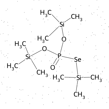 C[Si](C)(C)OP(=O)(O[Si](C)(C)C)[Se][Si](C)(C)C